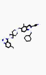 Cc1c(CN2CCC3(CC2)CN(c2ncnc4ccc(CC(F)(F)F)cc24)C3)ccc2c1cc(C#CN)n2CC1CCCCC1